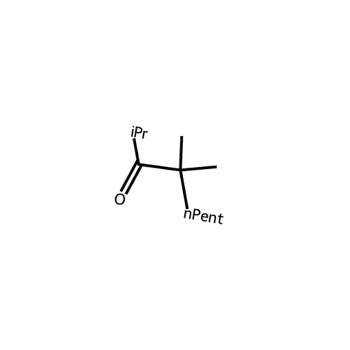 CCCCCC(C)(C)C(=O)C(C)C